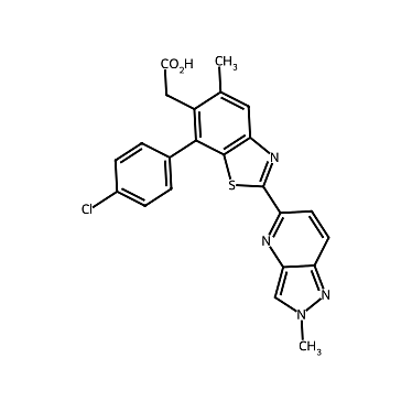 Cc1cc2nc(-c3ccc4nn(C)cc4n3)sc2c(-c2ccc(Cl)cc2)c1CC(=O)O